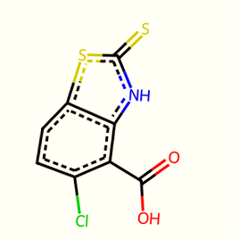 O=C(O)c1c(Cl)ccc2sc(=S)[nH]c12